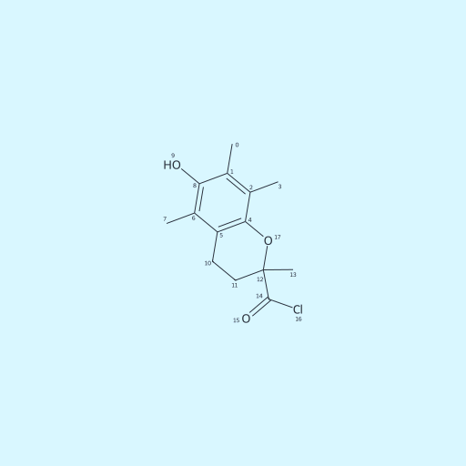 Cc1c(C)c2c(c(C)c1O)CCC(C)(C(=O)Cl)O2